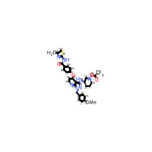 COc1ccc(Cn2nc(N[C@@H]3CCCN(OC(=O)C(F)(F)F)C3)c3c(Oc4ccc(C(=O)Nc5nc(C)cs5)cc4)ccnc32)cc1